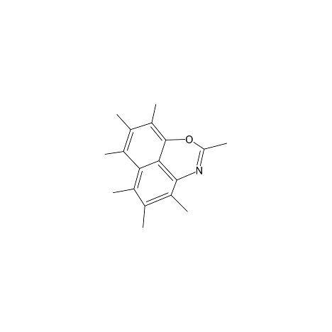 CC1=Nc2c(C)c(C)c(C)c3c(C)c(C)c(C)c(c23)O1